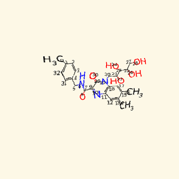 Cc1ccc(CNC(=O)c2nc3cc(C)c(C)cc3n(CC(O)C(O)C(O)CO)c2=O)cc1